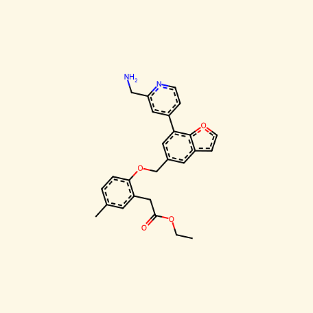 CCOC(=O)Cc1cc(C)ccc1OCc1cc(-c2ccnc(CN)c2)c2occc2c1